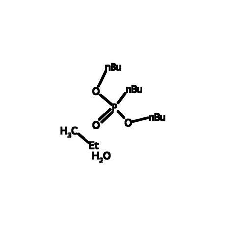 CCC.CCCCOP(=O)(CCCC)OCCCC.O